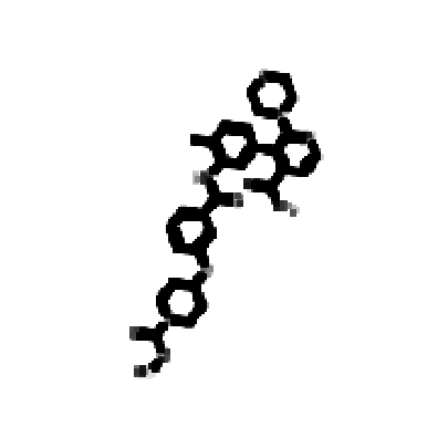 Cc1ccc(-c2c(C(N)=O)ccnc2N2CCOCC2)cc1NC(=O)c1cccc(OC2CCN(C(=O)OC(C)(C)C)CC2)c1